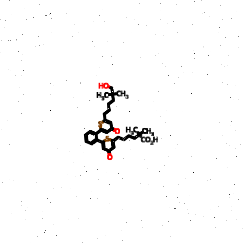 CC(C)(CO)CCCCc1cc(=O)cc(-c2ccccc2-c2cc(=O)cc(CCCCC(C)(C)C(=O)O)s2)s1